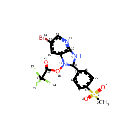 CS(=O)(=O)c1ccc(C2Nc3ncc(Br)cc3N2OC(=O)C(F)(F)F)cc1